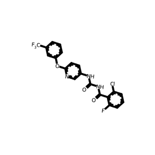 O=C(NC(=O)c1c(F)cccc1Cl)Nc1ccc(Oc2cccc(C(F)(F)F)c2)nc1